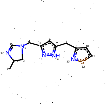 CC1CN(Cc2cc(Cc3ccsn3)[nH]n2)C=N1